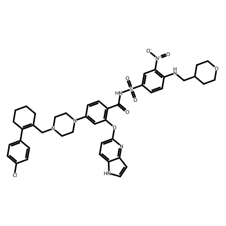 O=C(NS(=O)(=O)c1ccc(NCC2CCOCC2)c([N+](=O)[O-])c1)c1ccc(N2CCN(CC3=C(c4ccc(Cl)cc4)CCCC3)CC2)cc1Oc1ccc2[nH]ccc2n1